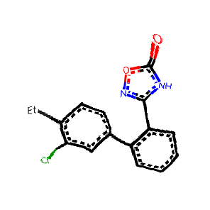 CCc1ccc(-c2ccccc2-c2noc(=O)[nH]2)cc1Cl